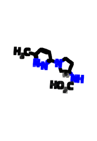 Cc1ccc(N2CC[C@@H](NC(=O)O)C2)nn1